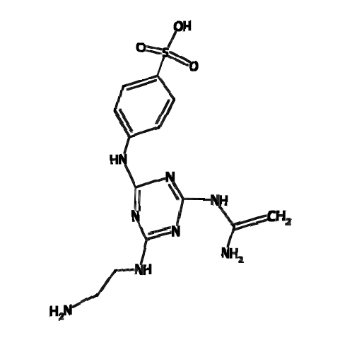 C=C(N)Nc1nc(NCCN)nc(Nc2ccc(S(=O)(=O)O)cc2)n1